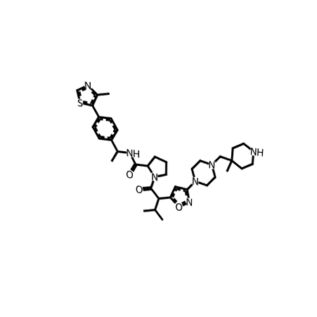 Cc1ncsc1-c1ccc(C(C)NC(=O)C2CCCN2C(=O)C(c2cc(N3CCN(CC4(C)CCNCC4)CC3)no2)C(C)C)cc1